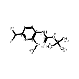 COc1nc(C(F)F)ccc1NC(=O)OC(C)(C)C